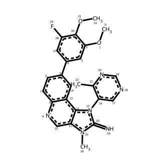 COc1cc(-c2ccc3ncc4c(c3c2)n(-c2cncnc2C)c(=N)n4C)cc(F)c1OC